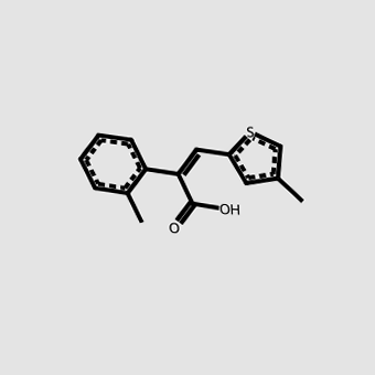 Cc1csc(C=C(C(=O)O)c2ccccc2C)c1